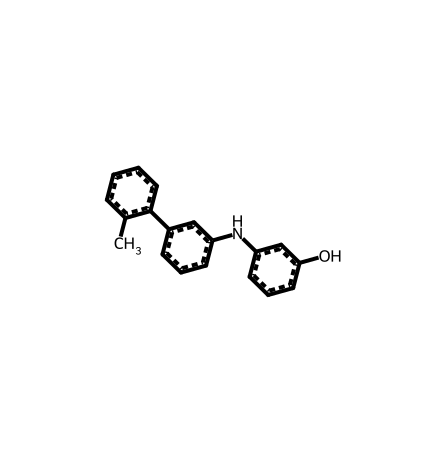 Cc1ccccc1-c1cccc(Nc2cccc(O)c2)c1